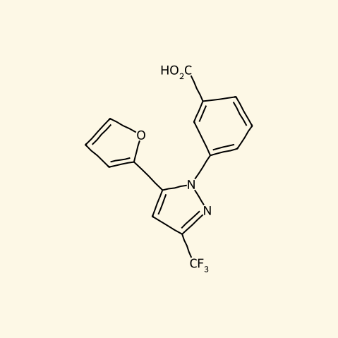 O=C(O)c1cccc(-n2nc(C(F)(F)F)cc2-c2ccco2)c1